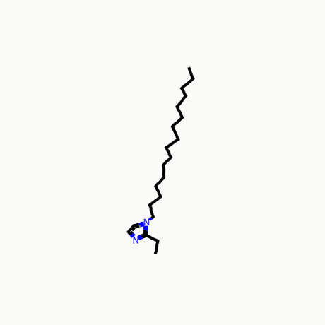 CCCCCCCCCCCCCCCCn1ccnc1CC